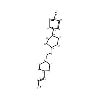 CC/C=C/[C@H]1CC[C@H](CC[C@H]2CC[C@H](c3ccc(Cl)cc3)CC2)CC1